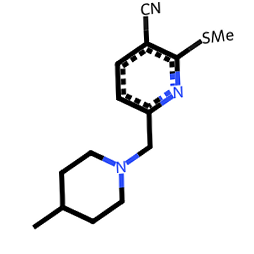 CSc1nc(CN2CCC(C)CC2)ccc1C#N